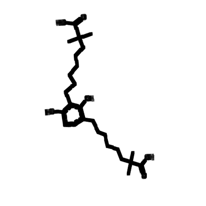 CC(C)(CCCCCCc1ccc(O)c(CCCCCCC(C)(C)C(=O)O)c1O)C(=O)O